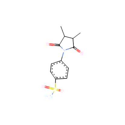 CC1C(=O)N(c2ccc(S(N)(=O)=O)cc2)C(=O)C1C